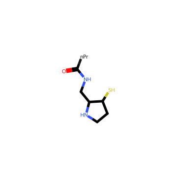 CCCC(=O)NCC1NCCC1S